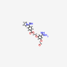 N=C(N)c1cc(OCC=O)cc(OCCOC(=O)c2ccc(C(=N)N3CCCC3)cc2)c1